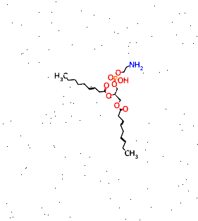 CCC=CCC=CCC(=O)OC[C@H](COP(=O)(O)OCCN)OC(=O)CC=CCCCCC